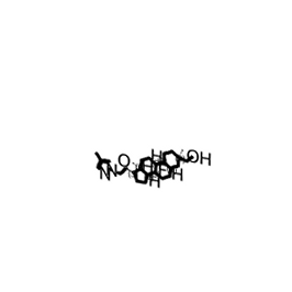 Cc1cnn(CC(=O)[C@H]2CC[C@H]3[C@@H]4CC[C@@H]5C[C@](C)(CO)CC[C@]5(F)[C@H]4CC[C@]23C)c1